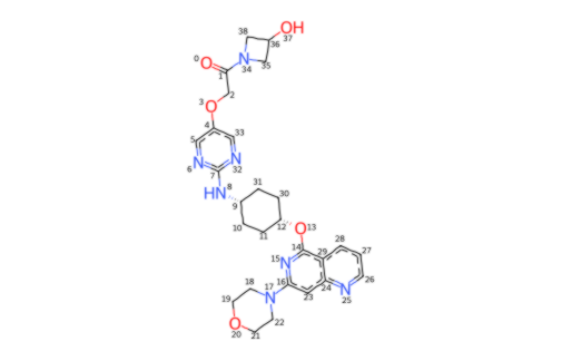 O=C(COc1cnc(N[C@H]2CC[C@@H](Oc3nc(N4CCOCC4)cc4ncccc34)CC2)nc1)N1CC(O)C1